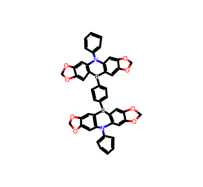 c1ccc(N2c3cc4c(cc3B(c3ccc(B5c6cc7c(cc6N(c6ccccc6)c6cc8c(cc65)OCO8)OCO7)cc3)c3cc5c(cc32)OCO5)OCO4)cc1